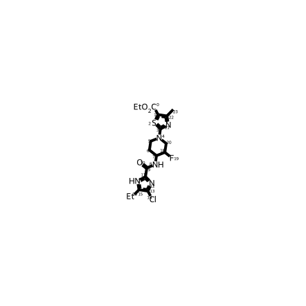 CCOC(=O)c1sc(N2CCC(NC(=O)c3nc(Cl)c(CC)[nH]3)C(F)C2)nc1C